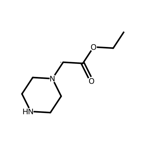 CCOC(=O)[CH]N1CCNCC1